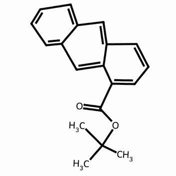 CC(C)(C)OC(=O)c1cccc2cc3ccccc3cc12